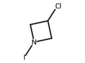 ClC1CN(I)C1